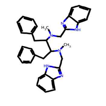 CN(Cc1nc2ccccc2[nH]1)C(Cc1ccccc1)C(Cc1ccccc1)N(C)Cc1nc2ccccc2[nH]1